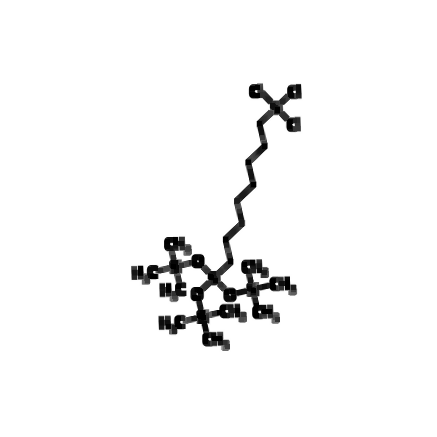 C[Si](C)(C)O[Si](CCCCCCCC[Si](Cl)(Cl)Cl)(O[Si](C)(C)C)O[Si](C)(C)C